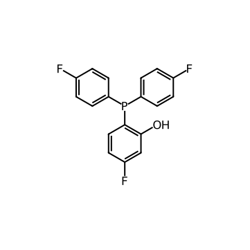 Oc1cc(F)ccc1P(c1ccc(F)cc1)c1ccc(F)cc1